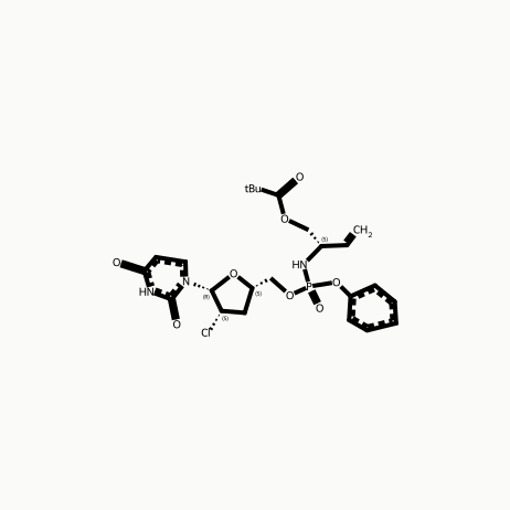 C=C[C@@H](COC(=O)C(C)(C)C)NP(=O)(OC[C@@H]1C[C@H](Cl)[C@H](n2ccc(=O)[nH]c2=O)O1)Oc1ccccc1